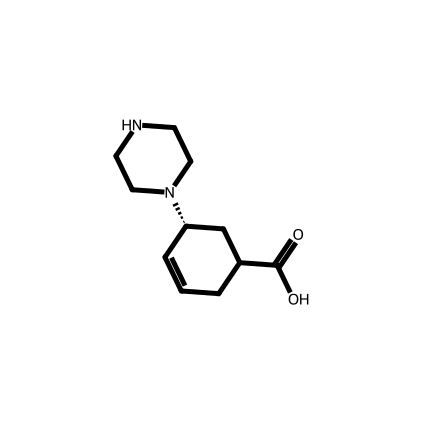 O=C(O)C1CC=C[C@H](N2CCNCC2)C1